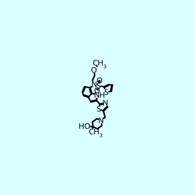 CCOCCN(c1cccc2cc(-c3ncc(CN4CCC(C)(O)CC4)s3)[nH]c12)S(=O)(=O)c1cccs1